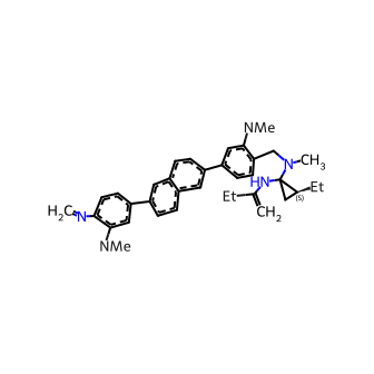 C=Nc1ccc(-c2ccc3cc(-c4ccc(CN(C)C5(NC(=C)CC)C[C@@H]5CC)c(NC)c4)ccc3c2)cc1NC